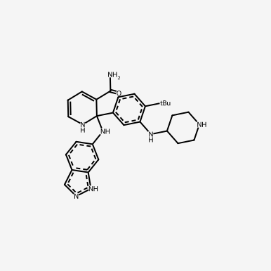 CC(C)(C)c1ccc(C2(Nc3ccc4cn[nH]c4c3)NC=CC=C2C(N)=O)cc1NC1CCNCC1